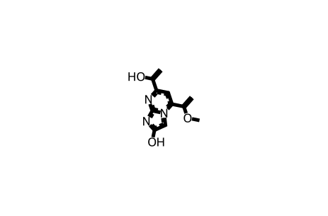 C=C(O)c1cc(C(=C)OC)n2cc(O)nc2n1